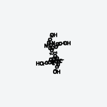 [C-]#[N+]c1c(Oc2ccc(C(C)(C)O)cc2)cccc1Oc1cc2c(cc1Oc1cccc(Oc3ccc(C(C)(C)O)cc3)c1[N+]#[C-])C1(CC(C)(C)c3cc(Oc4cccc(Oc5ccc(C(C)(C)O)cc5)c4C#N)c(Oc4cccc(Oc5ccc(C(C)(C)O)cc5)c4C#N)cc31)CC2(C)C